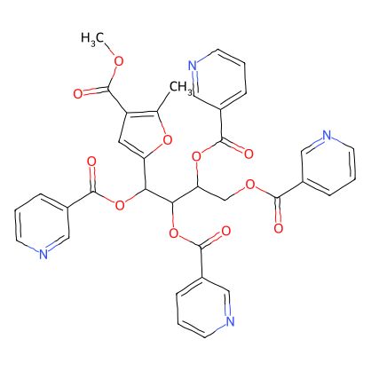 COC(=O)c1cc(C(OC(=O)c2cccnc2)C(OC(=O)c2cccnc2)C(COC(=O)c2cccnc2)OC(=O)c2cccnc2)oc1C